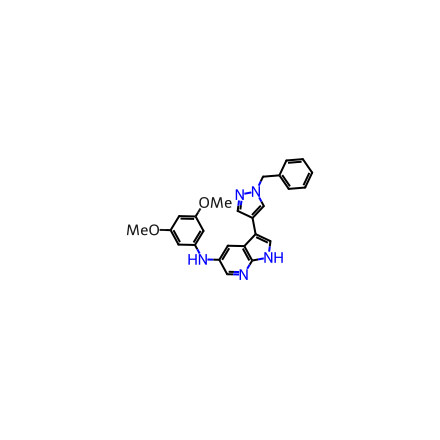 COc1cc(Nc2cnc3[nH]cc(-c4cnn(Cc5ccccc5)c4)c3c2)cc(OC)c1